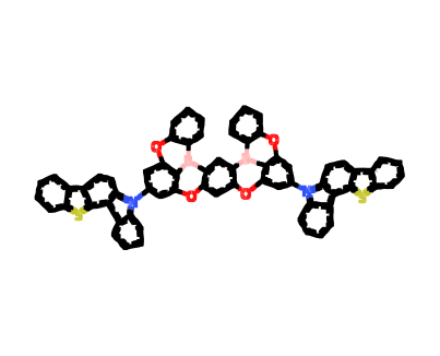 c1ccc2c(c1)Oc1cc(-n3c4ccccc4c4c5sc6ccccc6c5ccc43)cc3c1B2c1cc2c(cc1O3)Oc1cc(-n3c4ccccc4c4c5sc6ccccc6c5ccc43)cc3c1B2c1ccccc1O3